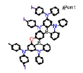 CCC[C@H](C)c1ccc(N(c2ccc(I)cc2)c2cc3c4c(c2)N(c2ccc(I)cc2)c2cc5c(cc2B4c2ccccc2N3c2ccccc2)B2c3ccccc3N(c3ccccc3)c3cc(N(c4ccc(C)cc4)c4ccc(I)cc4)cc(c32)O5)cc1